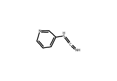 N=C=[SH]c1cccnc1